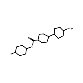 CCCCCCC1CCC(C2CCC(C(=O)OC3CCC(CC)CC3)CC2)CC1